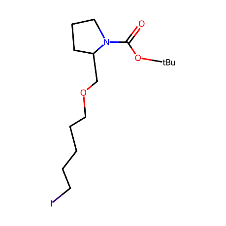 CC(C)(C)OC(=O)N1CCCC1COCCCCCI